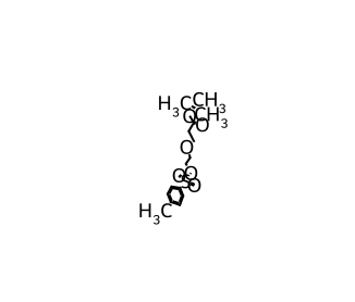 Cc1ccc(S(=O)(=O)OCCOCCC(=O)OC(C)(C)C)cc1